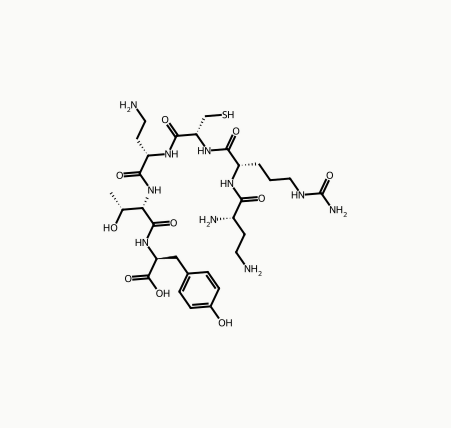 C[C@@H](O)[C@H](NC(=O)[C@H](CCN)NC(=O)[C@H](CS)NC(=O)[C@H](CCCNC(N)=O)NC(=O)[C@@H](N)CCN)C(=O)N[C@@H](Cc1ccc(O)cc1)C(=O)O